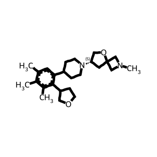 Cc1cc(C2CCN([C@@H]3COC4(C3)CN(C)C4)CC2)c(C2CCOC2)c(C)c1C